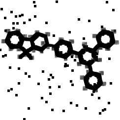 CC1(C)C2=C[C@@H](c3ccc(-c4cc(-c5ccccc5)nc(-c5ccccc5)n4)cc3)CC=C2c2ccccc21